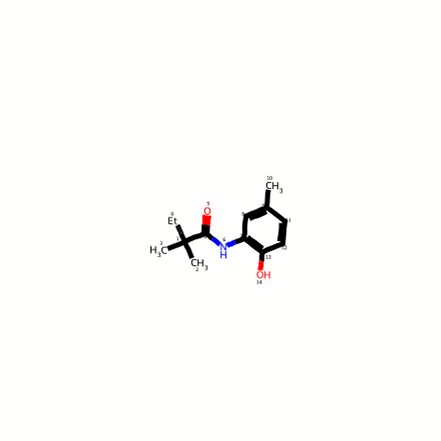 CCC(C)(C)C(=O)Nc1cc(C)ccc1O